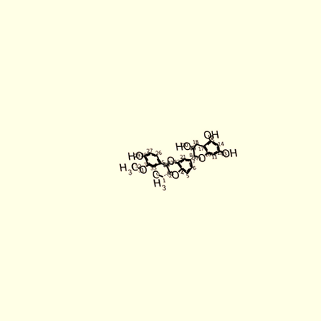 CC[C@H]1Oc2ccc([C@H]3Oc4cc(O)cc(O)c4C[C@@H]3O)cc2O[C@@H]1c1ccc(O)c(OC)c1